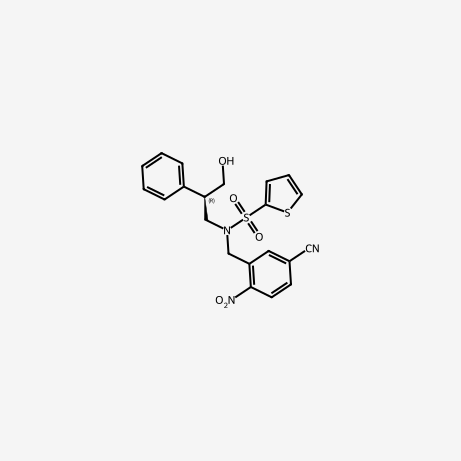 N#Cc1ccc([N+](=O)[O-])c(CN(C[C@H](CO)c2ccccc2)S(=O)(=O)c2cccs2)c1